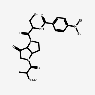 CCN(CC)c1ccc(C(=O)NC(CC(C)C)C(=O)N2CCC3C2C(=O)CN3C(=O)C(C)NC(C)=O)cc1